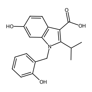 CC(C)c1c(C(=O)O)c2ccc(O)cc2n1Cc1ccccc1O